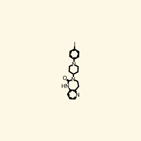 O=C1Nc2cccnc2CCN1C1CCN(c2ccc(I)cc2)CC1